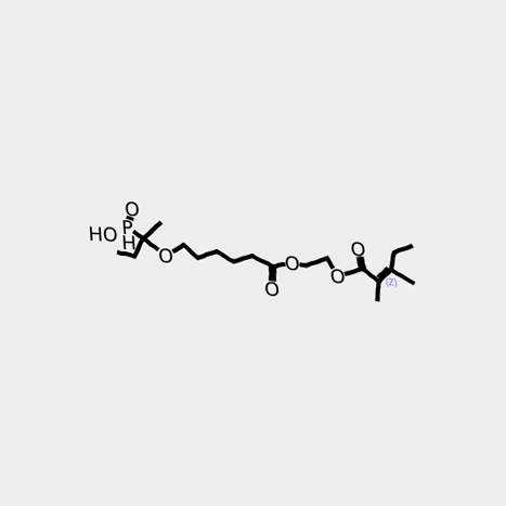 CC/C(C)=C(/C)C(=O)OCCOC(=O)CCCCCOC(C)(CC)[PH](=O)O